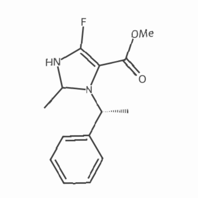 COC(=O)C1=C(F)NC(C)N1[C@H](C)c1ccccc1